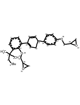 CC(C)(C)CC(C)(C)c1cccc(C2=CCC(c3ccc(OCC4CO4)cc3)C=C2)c1OCC1CO1